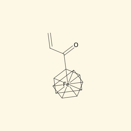 C=CC(=O)[C]12[CH]3[CH]4[CH]5[CH]1[Fe]45321678[CH]2[CH]1[CH]6[CH]7[CH]28